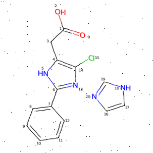 O=C(O)Cc1[nH]c(-c2ccccc2)nc1Cl.c1c[nH]cn1